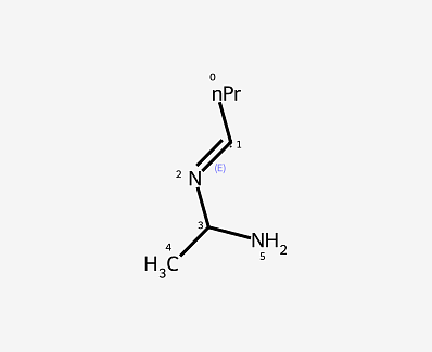 CCC/[C]=N/C(C)N